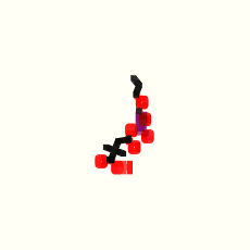 CCCOCO[PH](=O)OC(=O)CC(C)(C)C(=O)O